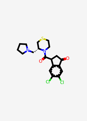 O=C1CC(C(=O)N2CCSC[C@H]2CN2CCCC2)c2cc(Cl)c(Cl)cc21